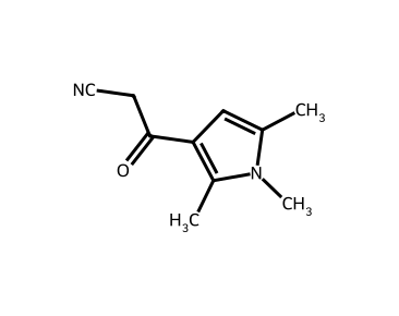 Cc1cc(C(=O)CC#N)c(C)n1C